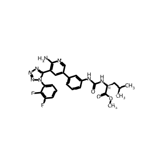 COC(=O)[C@H](CC(C)C)NC(=O)Nc1cccc(-c2cnc(N)c(-c3nnnn3-c3cccc(F)c3F)c2)c1